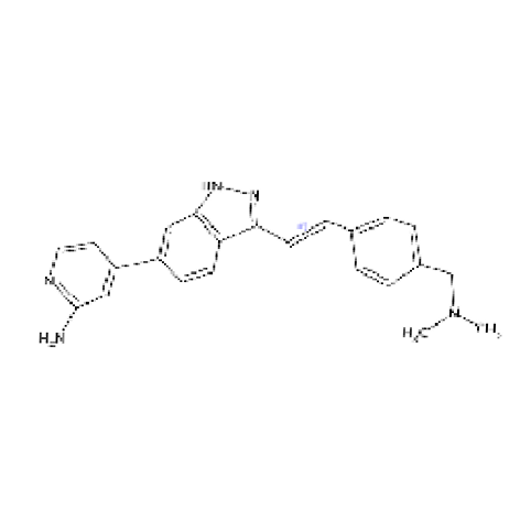 CN(C)Cc1ccc(/C=C/c2n[nH]c3cc(-c4ccnc(N)c4)ccc23)cc1